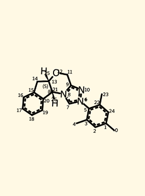 Cc1cc(C)c(-[n+]2cn3c(n2)CO[C@H]2Cc4ccccc4[C@H]23)c(C)c1